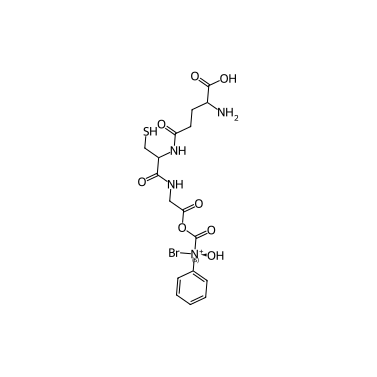 NC(CCC(=O)NC(CS)C(=O)NCC(=O)OC(=O)[N@@+](O)(Br)c1ccccc1)C(=O)O